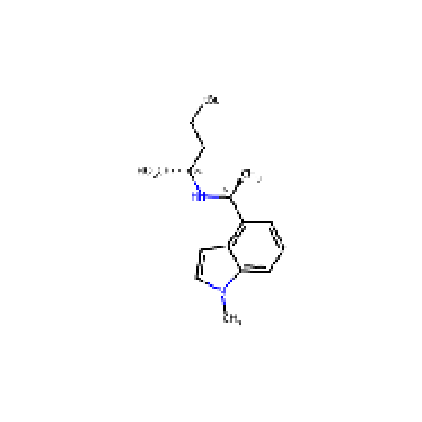 C[C@H](N[C@@H](CCC(C)(C)C)C(=O)O)c1cccc2c1ccn2C